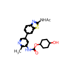 CC(=O)Nc1nc2ccc(-c3cnc(C)c(NC(=O)OC4CCC(O)CC4)c3)cc2s1